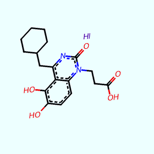 I.O=C(O)CCn1c(=O)nc(CC2CCCCC2)c2c(O)c(O)ccc21